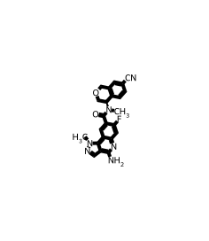 CN(C(=O)c1cc2c(cc1F)nc(N)c1cnn(C)c12)[C@H]1COCc2cc(C#N)ccc21